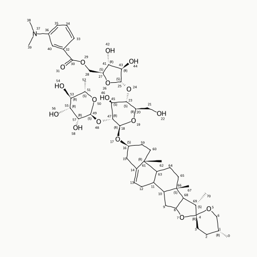 C[C@@H]1CC[C@@]2(OC1)OC1CC3C4CC=C5C[C@@H](O[C@@H]6O[C@H](CO)[C@@H](O[C@@H]7O[C@@H](COC(=O)c8cccc(N(C)C)c8)[C@H](O)[C@H]7O)[C@H](O)[C@H]6O[C@@H]6O[C@@H](C)[C@H](O)[C@@H](O)[C@H]6O)CC[C@]5(C)C4CC[C@]3(C)C1[C@@H]2C